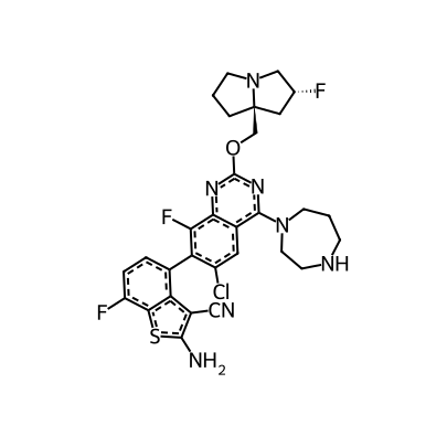 N#Cc1c(N)sc2c(F)ccc(-c3c(Cl)cc4c(N5CCCNCC5)nc(OC[C@@]56CCCN5C[C@H](F)C6)nc4c3F)c12